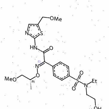 CCN(CCO)S(=O)(=O)c1ccc(/C(=N\O[C@H](C)COC)C(=O)Nc2ncc(COC)s2)cc1